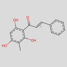 Cc1c(O)cc(O)c(C(=O)/C=C/c2ccccc2)c1O